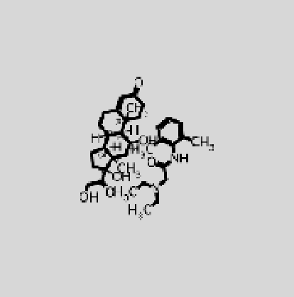 CCN(CC)CC(=O)Nc1c(C)cccc1C.C[C@]12CCC(=O)C=C1CC[C@@H]1[C@@H]2[C@@H](O)C[C@@]2(C)[C@H]1CC[C@]2(O)C(=O)CO